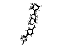 Cc1nc(-c2ccc(Cn3cc4nc(-c5cccc(F)c5F)nc-4cn3)cc2)no1